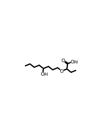 CCCCC(O)CCCOC(CC)C(=O)O